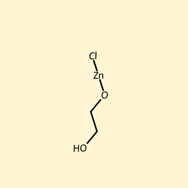 OCC[O][Zn][Cl]